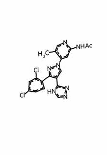 CC(=O)Nc1cc(-n2cc(-c3nnc[nH]3)c(-c3ccc(Cl)cc3Cl)n2)c(C)cn1